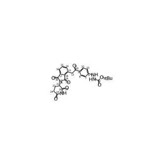 CC(C)(C)OC(=O)NNc1ccc(C(=O)Cc2cccc3c2C(=O)N(C2CCC(=O)NC2=O)C3=O)cc1